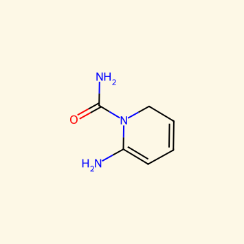 NC(=O)N1CC=CC=C1N